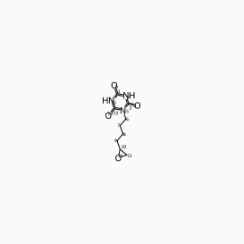 O=c1[nH]c(=O)n(CCCCC2CO2)c(=O)[nH]1